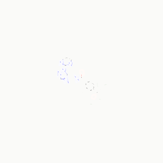 CC(c1ncnn1-c1ncccn1)N(CC1CC1)C(=O)c1ccc(C2(OC(F)F)CC2(F)F)cc1